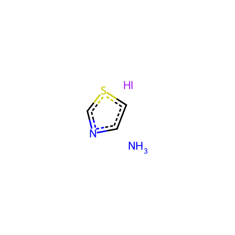 I.N.c1cscn1